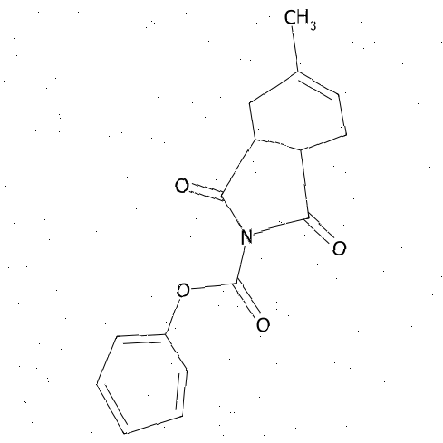 CC1=CCC2C(=O)N(C(=O)Oc3ccccc3)C(=O)C2C1